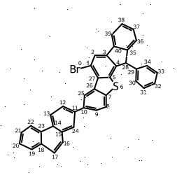 Brc1cc2c(c3sc4ccc(-c5ccc6c(ccc7ccccc76)c5)cc4c13)C(c1ccccc1)c1ccccc1-2